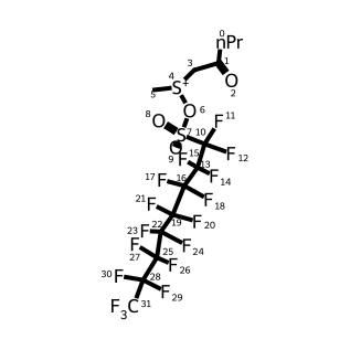 CCCC(=O)C[S+](C)OS(=O)(=O)C(F)(F)C(F)(F)C(F)(F)C(F)(F)C(F)(F)C(F)(F)C(F)(F)C(F)(F)F